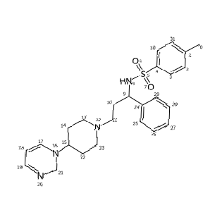 Cc1ccc(S(=O)(=O)NC(CCN2CCC(N3C=CC=NC3)CC2)c2ccccc2)cc1